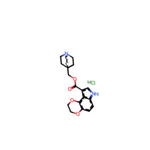 Cl.O=C(OCC12CCN(CC1)CC2)c1c[nH]c2ccc3c(c12)OCCO3